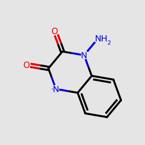 NN1C(=O)C(=O)[N]c2ccccc21